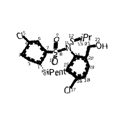 CCC[C@@H](C)c1ccc(Cl)cc1S(=O)(=O)N(SC(C)C)c1cc(Cl)ccc1CO